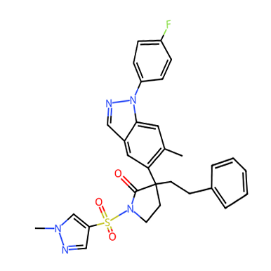 Cc1cc2c(cnn2-c2ccc(F)cc2)cc1C1(CCc2ccccc2)CCN(S(=O)(=O)c2cnn(C)c2)C1=O